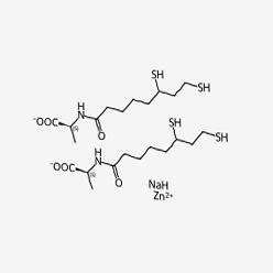 C[C@H](NC(=O)CCCCC(S)CCS)C(=O)[O-].C[C@H](NC(=O)CCCCC(S)CCS)C(=O)[O-].[NaH].[Zn+2]